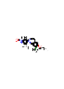 Cc1cc(N2CCCc3cc(OC(C)C)c(F)cc3C2)cc(C)c1NC=O